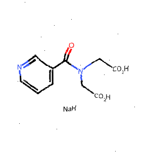 O=C(O)CN(CC(=O)O)C(=O)c1cccnc1.[NaH]